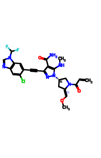 C=CC(=O)N1C[C@@H](n2nc(C#Cc3cc4c(cc3Cl)ncn4C(F)F)c(C(N)=O)c2NC)C/C1=C\OC